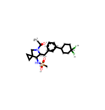 CC(C)C(=O)N1CC2(CC2)C(NS(C)(=O)=O)C1Cc1cccc(C2CCC(F)(F)CC2)c1